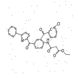 CCOC(=O)CC(=O)Nc1ccc(C(=O)c2nc(-c3ccccc3)cs2)cc1C(=O)c1cccc(Cl)c1